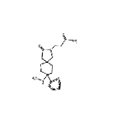 CNC1(c2ccccn2)CCC2(CC1)CC(=O)N(CCC(N)=O)C2